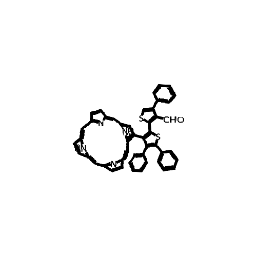 O=Cc1c(-c2ccccc2)csc1-c1sc(-c2ccccc2)c(-c2ccccc2)c1-c1cc2cc3nc(cc4ccc(cc5nc(cc1[nH]2)C=C5)[nH]4)C=C3